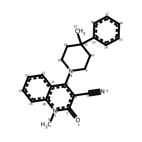 Cn1c(=O)c(C#N)c(N2CCC(C)(c3ccccc3)CC2)c2ccccc21